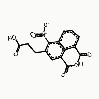 O=C(O)CCc1cc2c3c(cccc3c1[N+](=O)[O-])C(=O)NC2=O